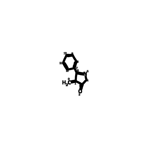 C=C1C(=O)CN=C1c1ccccc1